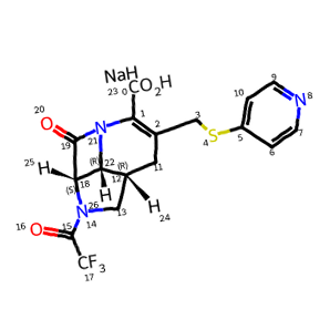 O=C(O)C1=C(CSc2ccncc2)C[C@@H]2CN(C(=O)C(F)(F)F)[C@@H]3C(=O)N1[C@H]23.[NaH]